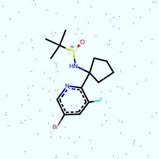 CC(C)(C)[S@@+]([O-])NC1(c2ncc(Br)cc2F)CCCC1